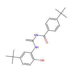 C=C(NC(=O)c1ccc(C(C)(C)C)cc1)Nc1cc(C(C)(C)C)ccc1O